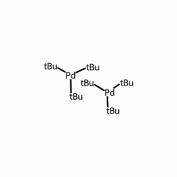 C[C](C)(C)[Pd]([C](C)(C)C)[C](C)(C)C.C[C](C)(C)[Pd]([C](C)(C)C)[C](C)(C)C